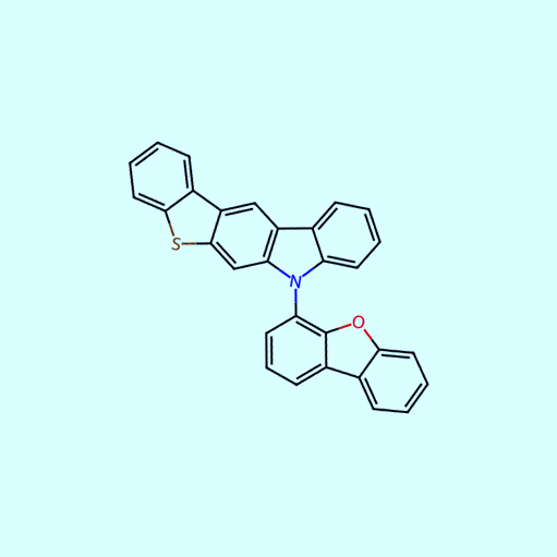 c1ccc2c(c1)oc1c(-n3c4ccccc4c4cc5c(cc43)sc3ccccc35)cccc12